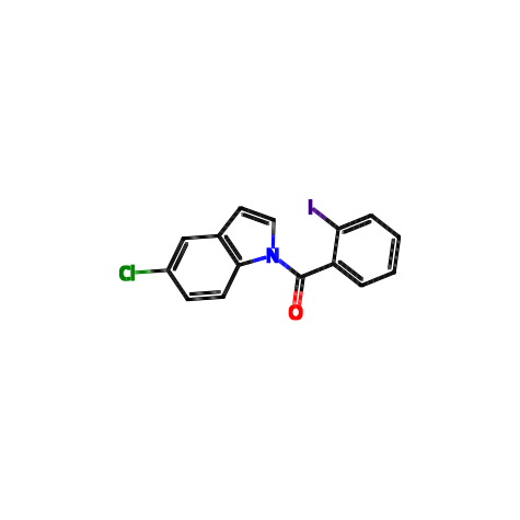 O=C(c1ccccc1I)n1ccc2cc(Cl)ccc21